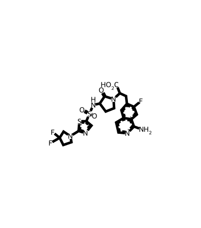 Nc1nccc2cc(CC(C(=O)O)N3CCC(NS(=O)(=O)c4cnc(N5CCC(F)(F)C5)s4)C3=O)c(F)cc12